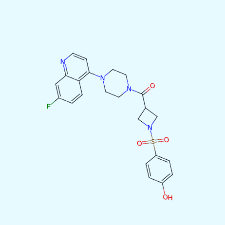 O=C(C1CN(S(=O)(=O)c2ccc(O)cc2)C1)N1CCN(c2ccnc3cc(F)ccc23)CC1